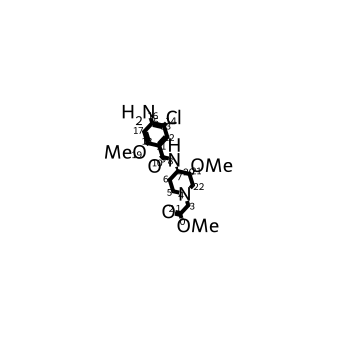 COC(=O)CN1CC[C@@H](NC(=O)c2cc(Cl)c(N)cc2OC)[C@@H](OC)C1